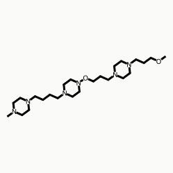 COCCCN1CCN(CCCON2CCN(CCCCN3CCN(C)CC3)CC2)CC1